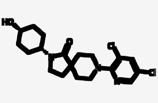 O=C1N([C@H]2CC[C@H](O)CC2)CCC12CCN(c1ncc(Cl)cc1Cl)CC2